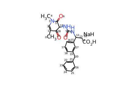 CC1=CN(C)C(=O)C(NC(=O)NC(CC(=O)O)c2cccc(Cc3ccccc3)c2)C1=O.[NaH]